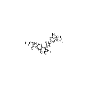 CNC(=O)c1ccc(N(C)C2CN(C(=O)OC(C)(C)C)C2)c(C)n1